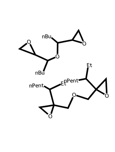 CCCCC(OC(CCCC)C1CO1)C1CO1.CCCCCC(CC)C1(COCC2(C(CC)CCCCC)CO2)CO1